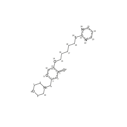 O=c1cc(CN2CCOCC2)occ1OCCCCCSc1ncccn1